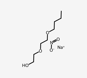 CCCCOCCOCCO.O=N[O-].[Na+]